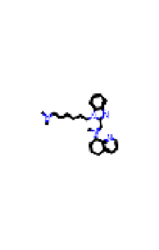 CN(C)CCCCCCn1c(CN(C)C2CCCc3cccnc32)nc2ccccc21